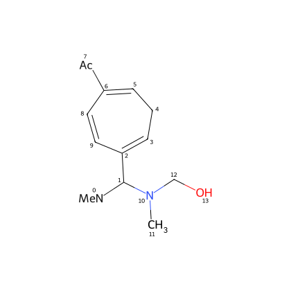 CNC(C1=CCC=C(C(C)=O)C=C1)N(C)CO